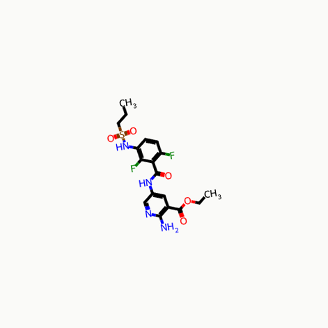 CCCS(=O)(=O)Nc1ccc(F)c(C(=O)Nc2cnc(N)c(C(=O)OCC)c2)c1F